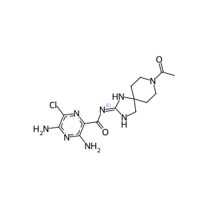 CC(=O)N1CCC2(CC1)CN/C(=N\C(=O)c1nc(Cl)c(N)nc1N)N2